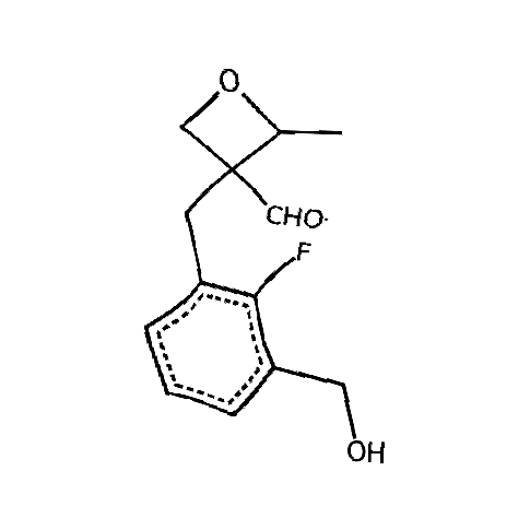 CC1OCC1([C]=O)Cc1cccc(CO)c1F